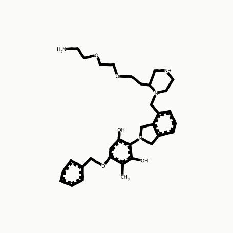 Cc1c(OCc2ccccc2)[c]c(O)c(N2Cc3cccc(CN4CCNCC4CCOCCOCCN)c3C2)c1O